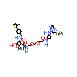 CCCc1cc(N[C@@H]2CC[C@@H](NC(=O)CCOCCOCCN[C@H](C(=O)C3C[C@H](O)C[C@H]3C(=O)NCc3ccc(-c4sccc4C)cc3)C(C)(C)C)C2)n2nccc2n1